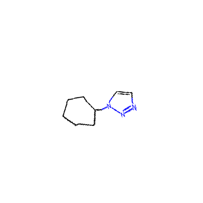 c1cn([C]2CCCCC2)nn1